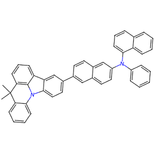 CC1(C)c2ccccc2-n2c3ccc(-c4ccc5cc(N(c6ccccc6)c6cccc7ccccc67)ccc5c4)cc3c3cccc1c32